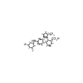 Cc1cc(F)cc(Nc2ncc(-c3cncc(C(=O)O)c3)c(-n3ccc(C(F)(F)F)n3)n2)c1